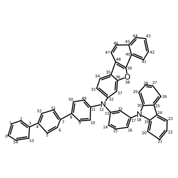 c1ccc(-c2ccc(-c3ccc(N(c4cccc(-n5c6ccccc6c6ccccc65)c4)c4ccc5c(c4)oc4c6ccccc6ccc54)cc3)cc2)cc1